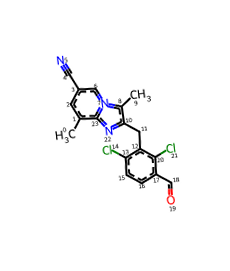 Cc1cc(C#N)cn2c(C)c(Cc3c(Cl)ccc(C=O)c3Cl)nc12